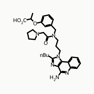 CCCCc1nc2c(N)nc3ccccc3c2n1CCCN(Cc1cccc(OC(C)C(=O)O)c1)C(=O)CN1CCCC1